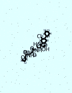 CC(CC(O)(C(=O)O)c1ccc(-c2ccccc2)c(Cl)c1)NC(=O)C(=O)NNC(=O)c1ccco1